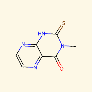 Cn1c(=S)[nH]c2nccnc2c1=O